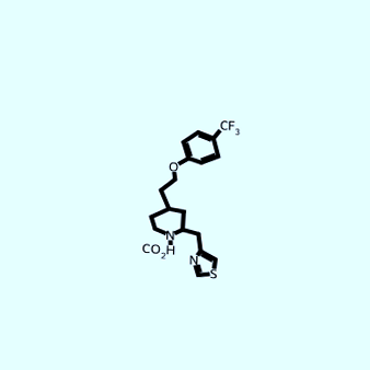 O=C(O)N1CCC(CCOc2ccc(C(F)(F)F)cc2)CC1Cc1cscn1